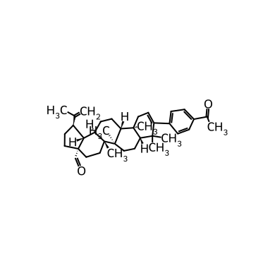 C=C(C)[C@@H]1CC[C@]2(C=O)CC[C@]3(C)[C@H](CC[C@@H]4[C@@]5(C)CC=C(c6ccc(C(C)=O)cc6)C(C)(C)[C@@H]5CC[C@]43C)[C@@H]12